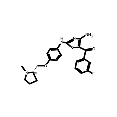 CN1CCC[C@H]1COc1ccc(Nc2nc(N)c(C(=O)c3cccc(F)c3)s2)cc1